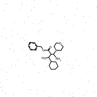 NC(C(C(=O)OCc1ccccc1)C(O)C1CCCCC1)N1CCOCC1